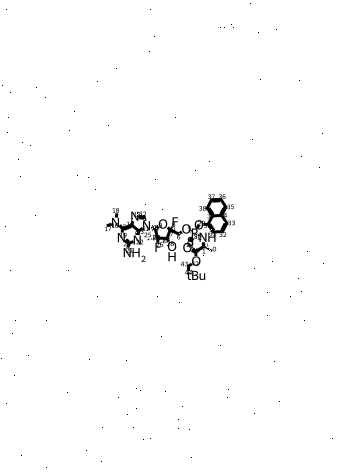 C[C@H](N[P@](=S)(OC[C@@]1(F)O[C@@H](n2cnc3c(N(C)C)nc(N)nc32)[C@](C)(F)[C@@H]1O)Oc1cccc2ccccc12)C(=O)OCC(C)(C)C